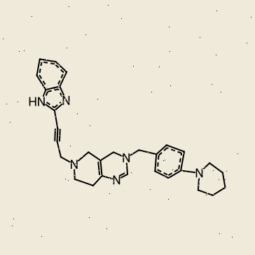 C(#Cc1nc2ccccc2[nH]1)CN1CCC2=C(CN(Cc3ccc(N4CCCCC4)cc3)C=N2)C1